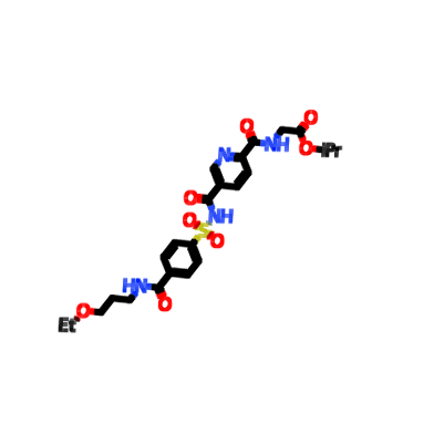 CCOCCCNC(=O)c1ccc(S(=O)(=O)NC(=O)c2ccc(C(=O)NCC(=O)OC(C)C)nc2)cc1